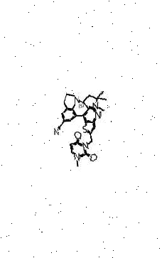 CN1C[C@@H](N2CCCc3cc(C#N)cc(-c4ccnc5cc(Cn6c(=O)ccn(C)c6=O)sc45)c32)CC1(C)C